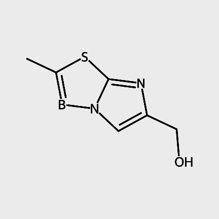 Cc1bn2cc(CO)nc2s1